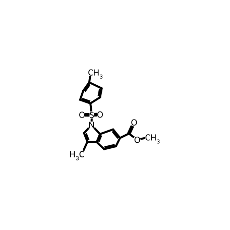 COC(=O)c1ccc2c(C)cn(S(=O)(=O)c3ccc(C)cc3)c2c1